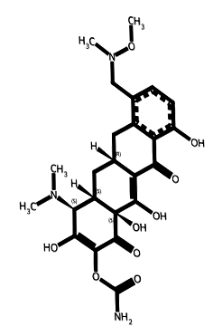 CON(C)Cc1ccc(O)c2c1C[C@H]1C[C@H]3[C@H](N(C)C)C(O)=C(OC(N)=O)C(=O)[C@@]3(O)C(O)=C1C2=O